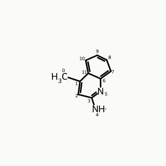 Cc1cc([NH])nc2ccccc12